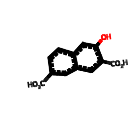 O=C(O)c1ccc2[c]c(O)c(C(=O)O)cc2c1